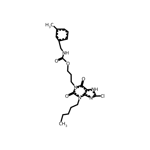 CCCCCn1c(=O)n(CCCOC(=O)NCc2cccc(C)c2)c(=O)c2[nH]c(Cl)nc21